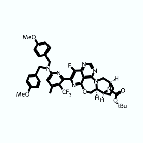 COc1ccc(CN(Cc2ccc(OC)cc2)c2cc(C)c(C(F)(F)F)c(-c3nc4c5c(ncnc5c3F)N3C[C@H]5CC[C@@H]([C@H]3CO4)N5C(=O)OC(C)(C)C)n2)cc1